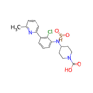 Cc1cccc(-c2cccc(N(C3CCN(C(=O)O)CC3)[SH](=O)=O)c2Cl)n1